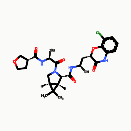 CC(C)(C)[C@H](NC(=O)[C@@H]1CCOC1)C(=O)N1C[C@H]2[C@@H]([C@H]1C(=O)N[C@H](C#N)C[C@@H]1Oc3c(Cl)cccc3NC1=O)C2(C)C